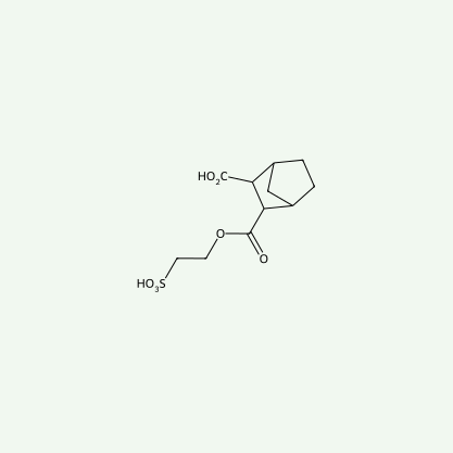 O=C(O)C1C2CCC(C2)C1C(=O)OCCS(=O)(=O)O